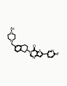 CC(=O)N1CCN(Cc2ccc3c(c2)CCC(n2cnc4cc(-c5ccc(F)nc5)sc4c2=O)C3)CC1